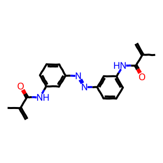 C=C(C)C(=O)Nc1cccc(N=Nc2cccc(NC(=O)C(=C)C)c2)c1